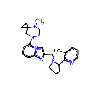 Cc1cccnc1C1CCCN1Cc1cn2c(N3CCN(C)C4(CC4)C3)cccc2n1